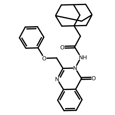 O=C(CC12CC3CC(CC(C3)C1)C2)Nn1c(COc2ccccc2)nc2ccccc2c1=O